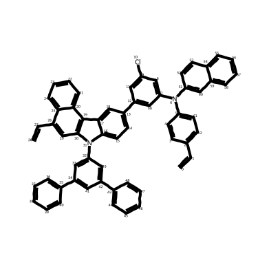 C=Cc1ccc(N(c2cc(Cl)cc(-c3ccc4c(c3)c3c5ccccc5c(C=C)cc3n4-c3cc(-c4ccccc4)cc(-c4ccccc4)c3)c2)c2ccc3ccccc3c2)cc1